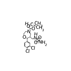 CC(C)(C)OC(=O)N1CCOC(c2ccc(Cl)c(Cl)c2)C(CNS(N)(=O)=O)C1